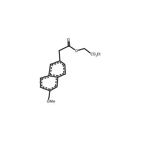 CCOC(=O)COC(=O)Cc1ccc2cc(OC)ccc2c1